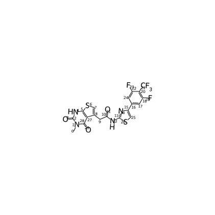 Cn1c(=O)[nH]c2scc(CC(=O)Nc3nc(-c4cc(F)c(C(F)(F)F)c(F)c4)cs3)c2c1=O